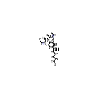 C=C(/C=C\C)N(C(=C)/C=C\C)c1ccc(NCCCCCC)cc1